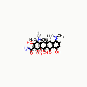 CN(C)c1ccc(O)c2c1C[C@H]1C[C@H]3C(C)(N(C)C)C(O)=C(C(N)=O)C(=O)[C@@]3(O)C(O)=C1C2=O